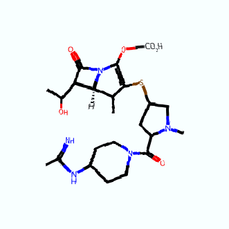 CC(=N)NC1CCN(C(=O)C2CC(SC3=C(OC(=O)O)N4C(=O)C(C(C)O)[C@@H]4C3C)CN2C)CC1